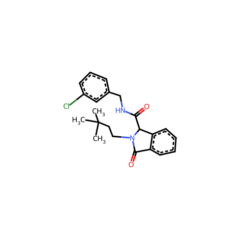 CC(C)(C)CCN1C(=O)c2ccccc2C1C(=O)NCc1cccc(Cl)c1